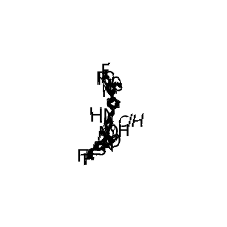 COc1nc(N(C)[C@H]2C[C@@H](NCc3ccc(-c4cc(OC)c(OC(F)F)nn4)cc3)C[C@H]2O)c2cc(CC(F)(F)F)sc2n1.Cl